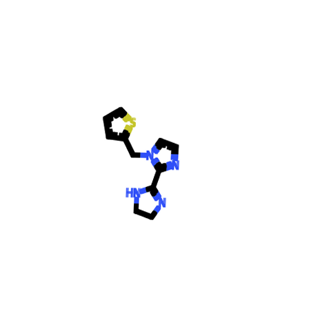 c1csc(Cn2ccnc2C2=NCCN2)c1